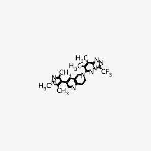 Cc1nn(C)c(C)c1-c1cnc2c(c1)CN(c1nn3c(C(F)(F)F)nnc3c(C)c1C)CC2